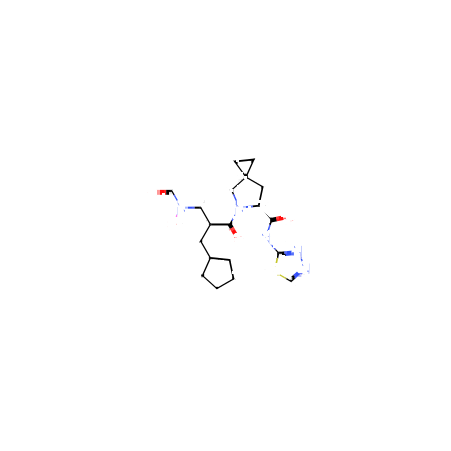 O=CN(O)CC(CC1CCCC1)C(=O)N1CC2(CC2)C[C@H]1C(=O)Nc1nncs1